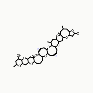 CC1CC2OC(=O)CC2OC2CC3OC4C/C=C\CC5OC6CCCC7OC8CC9OC(C)CC(O)C9OC8CC7(C)OC6/C=C\CC5OC4C(C)CC3OC2(C)C1